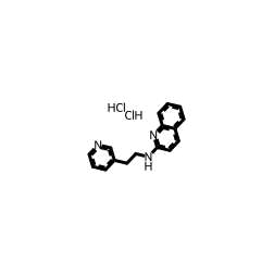 Cl.Cl.c1cncc(CCNc2ccc3ccccc3n2)c1